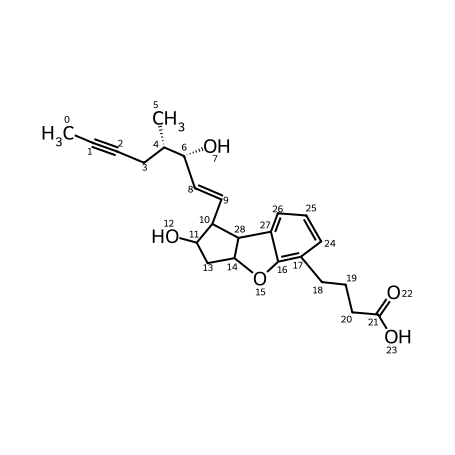 CC#CC[C@H](C)[C@H](O)/C=C/C1C(O)CC2Oc3c(CCCC(=O)O)cccc3C21